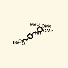 COc1cc(NCc2ccc(/C=C/C(=O)OC(C)(C)C)cc2)cc(OC)c1OC